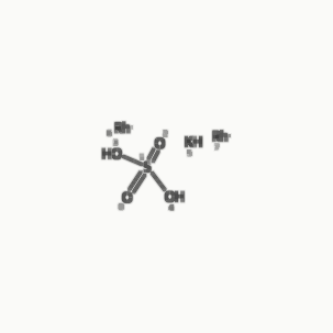 O=S(=O)(O)O.[KH].[Rh].[Rh]